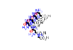 NC(=O)CC(N)C(=O)O.NC(=O)CC(N)C(=O)O.NC(=O)CC(N)C(=O)O.NC(=O)CC(N)C(=O)O.NC(=O)CC(N)C(=O)O.NCC(=O)O